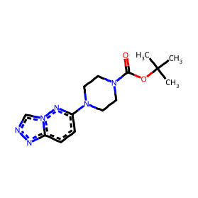 CC(C)(C)OC(=O)N1CCN(c2ccc3nncn3n2)CC1